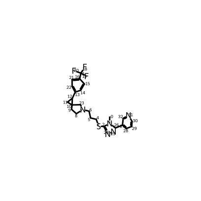 Cn1c(SCCCN2CCC3(CC3c3ccc(C(F)(F)F)cc3)C2)nnc1-c1cccnc1